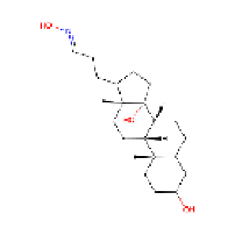 C[C@]12CCC(O)CC1CC[C@@H]1[C@H]2CC[C@]2(C)C(CC/C=N/O)CC[C@@]12O